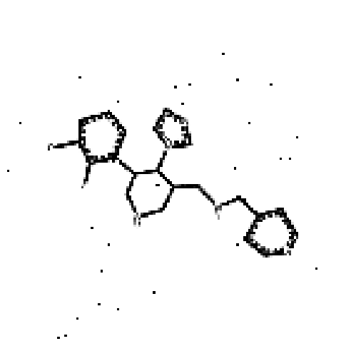 Fc1cccc(C2CNCC(CNCc3ccncc3)C2n2ccnc2)c1F